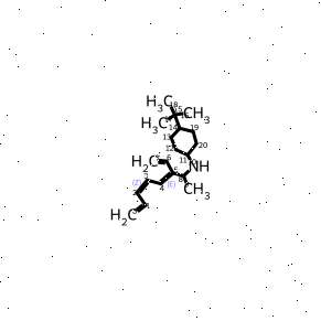 C=C/C=C\C=C(/C=C)C(C)NC1CCC(C(C)(C)C)CC1